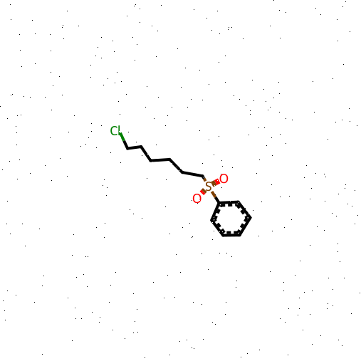 O=S(=O)(CCCCCCCl)c1ccccc1